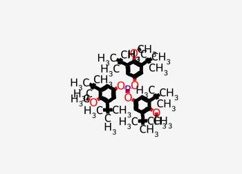 COc1c(C(C)(C)C)cc(OP(Oc2cc(C(C)(C)C)c(OC)c(C(C)(C)C)c2)Oc2cc(C(C)(C)C)c(OC)c(C(C)(C)C)c2)cc1C(C)(C)C